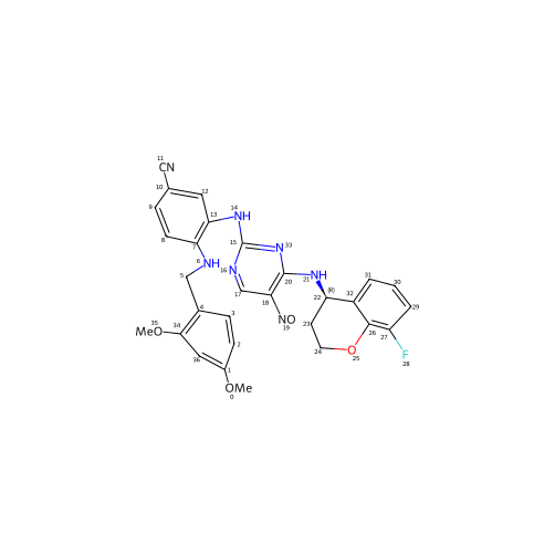 COc1ccc(CNc2ccc(C#N)cc2Nc2ncc(N=O)c(N[C@@H]3CCOc4c(F)cccc43)n2)c(OC)c1